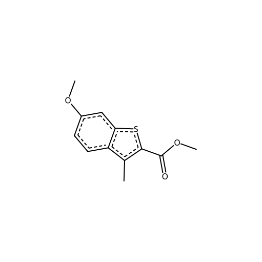 COC(=O)c1sc2cc(OC)ccc2c1C